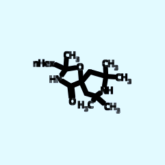 CCCCCCC1(C)NC(=O)C2(CC(C)(C)NC(C)(C)C2)O1